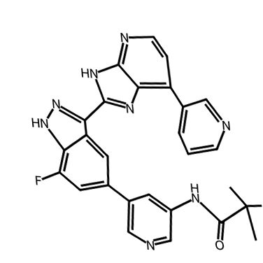 CC(C)(C)C(=O)Nc1cncc(-c2cc(F)c3[nH]nc(-c4nc5c(-c6cccnc6)ccnc5[nH]4)c3c2)c1